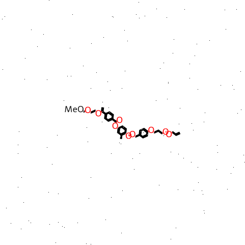 C=CCOOCCCOc1ccc(COOc2ccc(OC(=O)c3ccc(C(=C)OCCOCOC)cc3)cc2C)cc1